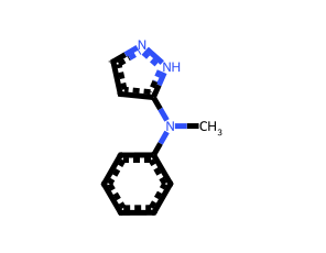 CN(c1ccccc1)c1c[c]n[nH]1